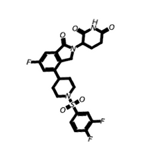 O=C1CCC(N2Cc3c(cc(F)cc3C3CCN(S(=O)(=O)c4ccc(F)c(F)c4)CC3)C2=O)C(=O)N1